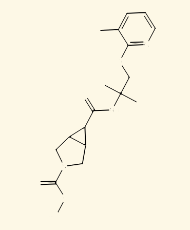 Cc1cccnc1OCC(C)(C)NC(=O)C1C2CN(C(=O)OC(C)(C)C)CC21